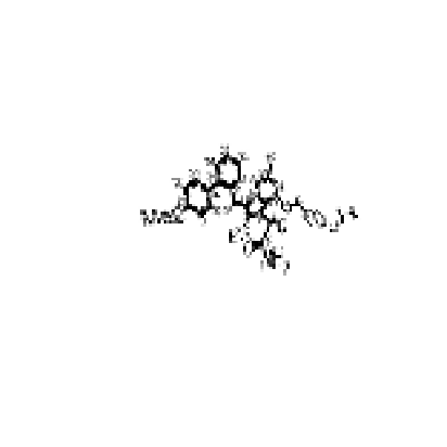 CCc1c(C(=O)C(N)=O)c2c(OCC(=O)O)nc(C)cn2c1Cc1ccccc1-c1ccc(OC)cc1